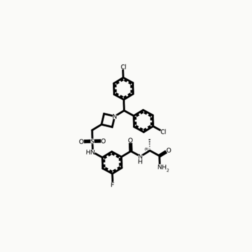 C[C@@H](NC(=O)c1cc(F)cc(NS(=O)(=O)CC2CN(C(c3ccc(Cl)cc3)c3ccc(Cl)cc3)C2)c1)C(N)=O